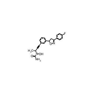 CC(C#Cc1cccc(C2CC(c3ccc(F)cc3)=NO2)c1)N(O)C(N)=O